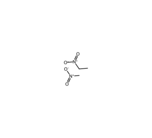 CC[N+](=O)[O-].C[N+](=O)[O-]